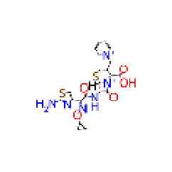 Nc1nc(C(=NOC2CC2)C(=O)N[C@@H]2C(=O)[N+]3=C(C(=O)O)C(C[n+]4ccccc4)CS[C@@H]23)cs1